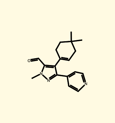 Cn1nc(-c2ccncc2)c(C2=CCC(C)(C)CC2)c1C=O